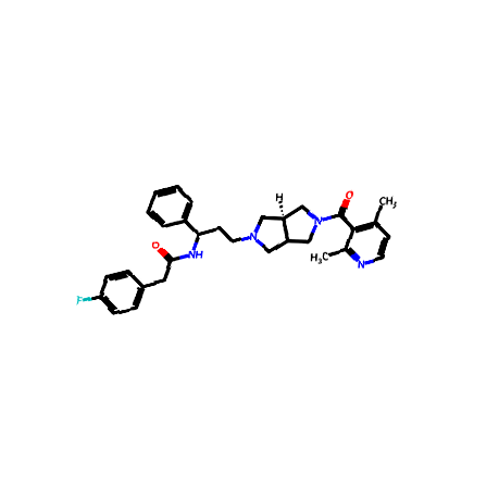 Cc1ccnc(C)c1C(=O)N1CC2CN(CCC(NC(=O)Cc3ccc(F)cc3)c3ccccc3)C[C@H]2C1